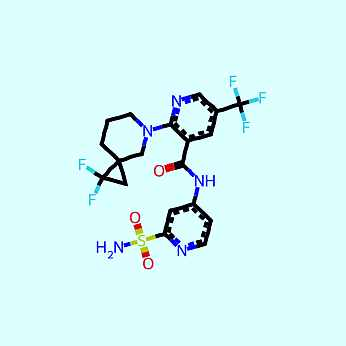 NS(=O)(=O)c1cc(NC(=O)c2cc(C(F)(F)F)cnc2N2CCCC3(C2)CC3(F)F)ccn1